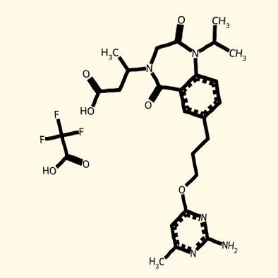 Cc1cc(OCCCc2ccc3c(c2)C(=O)N(C(C)CC(=O)O)CC(=O)N3C(C)C)nc(N)n1.O=C(O)C(F)(F)F